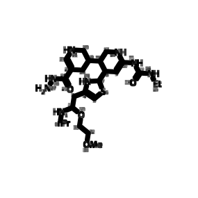 CCCNC(CC1=CSC(C2C=C(NC(=O)NCC)NCC2C2CNC=C(C(=O)NN)C2)N1)OCCOC